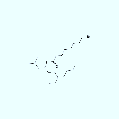 CCCCC(CC)CCC(CC(C)C)OC(=O)CCCCCCCBr